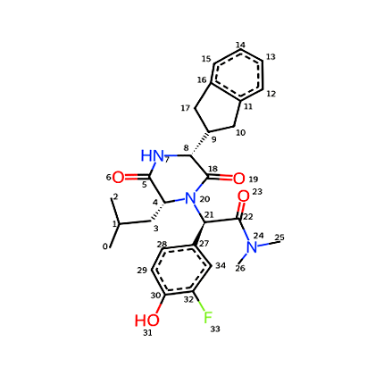 CC(C)C[C@@H]1C(=O)N[C@H](C2Cc3ccccc3C2)C(=O)N1[C@@H](C(=O)N(C)C)c1ccc(O)c(F)c1